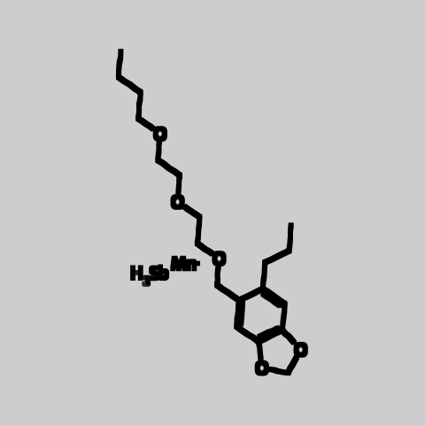 CCCCOCCOCCOCc1cc2c(cc1CCC)OCO2.[Mn].[SbH3]